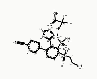 N#Cc1ccc(-c2ccc(S(=O)(=O)CCN)c(S(N)(=O)=O)c2-c2nnn[nH]2)cn1.O=C(O)C(F)(F)F